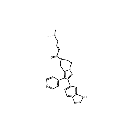 CN(C)C/C=C/C(=O)N1CCn2nc(-c3ccc4cc[nH]c4c3)c(-c3ccncc3)c2C1